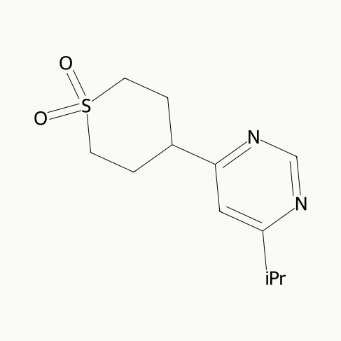 CC(C)c1cc(C2CCS(=O)(=O)CC2)ncn1